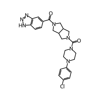 O=C(c1ccc2[nH]nnc2c1)N1CC2CN(C(=O)N3CCN(c4ccc(Cl)cc4)CC3)CC2C1